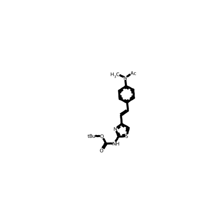 CC(=O)N(C)c1ccc(C=Cc2csc(NC(=O)OC(C)(C)C)n2)cc1